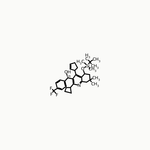 CC1(C)Cc2nc(C3CCC3)c([C@H](O)c3ccc(C(F)(F)F)cc3)c(C3C=CCC3)c2C(O[Si](C)(C)C(C)(C)C)C1